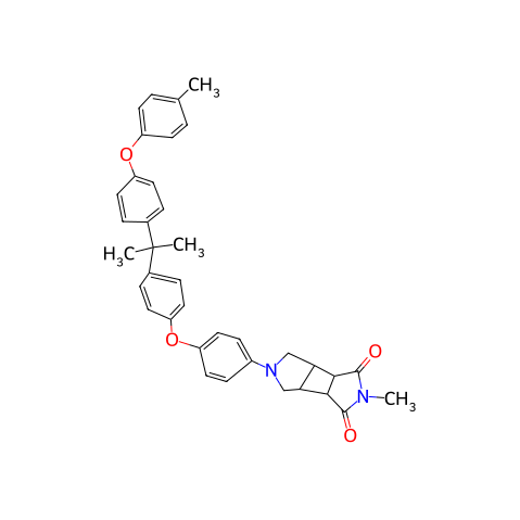 Cc1ccc(Oc2ccc(C(C)(C)c3ccc(Oc4ccc(N5CC6C(C5)C5C(=O)N(C)C(=O)C65)cc4)cc3)cc2)cc1